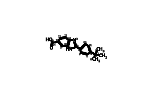 CC(C)(C)c1ccc(-c2nc3ccc(C(=O)O)cc3[nH]2)cc1